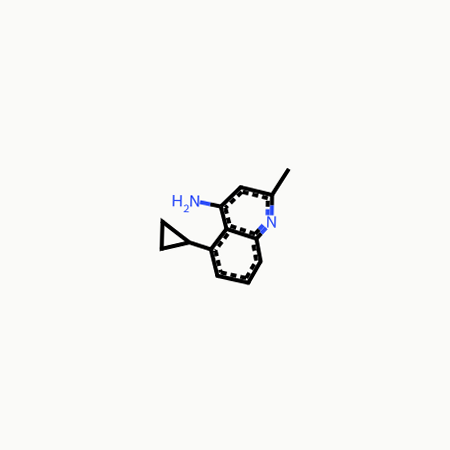 Cc1cc(N)c2c(C3CC3)cccc2n1